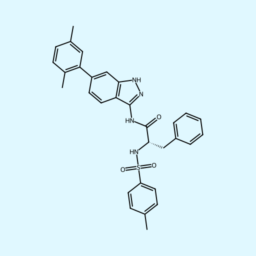 Cc1ccc(S(=O)(=O)N[C@@H](Cc2ccccc2)C(=O)Nc2n[nH]c3cc(-c4cc(C)ccc4C)ccc23)cc1